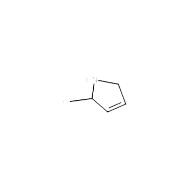 ClC1C=C[C]N1